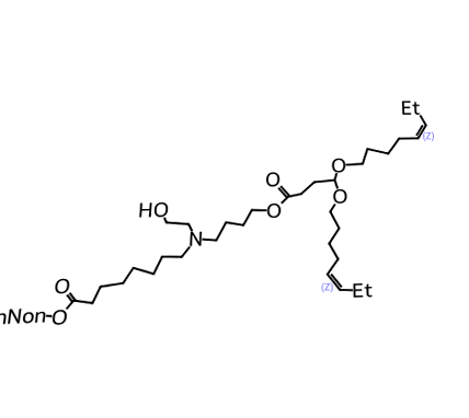 CC/C=C\CCCCOC(CCC(=O)OCCCCN(CCO)CCCCCCCC(=O)OCCCCCCCCC)OCCCC/C=C\CC